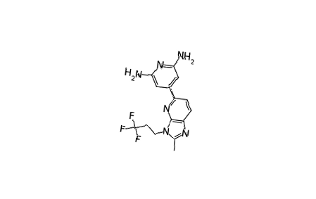 Cc1nc2ccc(-c3cc(N)nc(N)c3)nc2n1CCC(F)(F)F